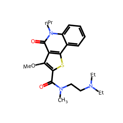 CCCn1c(=O)c2c(OC)c(C(=O)N(C)CCN(CC)CC)sc2c2ccccc21